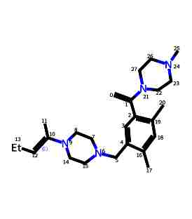 C=C(c1cc(CN2CCN(/C(C)=C/CC)CC2)c(C)cc1C)N1CCN(C)CC1